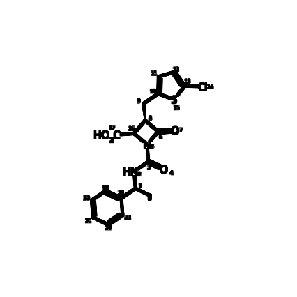 CC(NC(=O)N1C(=O)[C@H](Cc2ccc(Cl)s2)C1C(=O)O)c1ccccc1